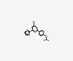 CC(C)Oc1ccc(-c2cc(Cl)cc(-c3nccs3)n2)cn1